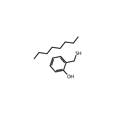 CCCCCCCC.Oc1ccccc1CS